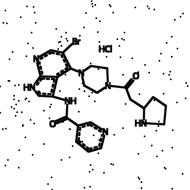 Cl.O=C(Nc1c[nH]c2ncc(Br)c(N3CCN(C(=O)CC4CCCN4)CC3)c12)c1cccnc1